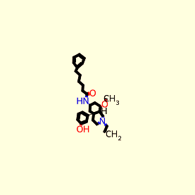 C=CCN1CC[C@@]2(c3cccc(O)c3)C[C@H](NC(=O)CCCCCc3ccccc3)CC(OC)[C@@H]2C1